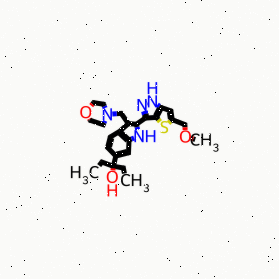 CCC(O)(CC)c1ccc2c(c1)NC(c1n[nH]c3cc(COC)sc13)C2CN1CCOCC1